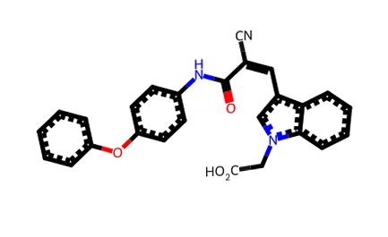 N#CC(=Cc1cn(CC(=O)O)c2ccccc12)C(=O)Nc1ccc(Oc2ccccc2)cc1